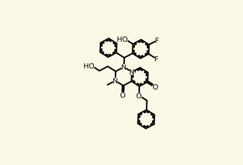 CN1C(=O)c2c(OCc3ccccc3)c(=O)ccn2N(C(c2ccccc2)c2cc(F)c(F)cc2O)C1CCO